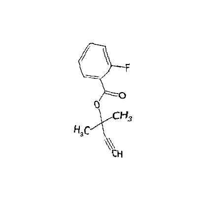 C#CC(C)(C)OC(=O)c1ccccc1F